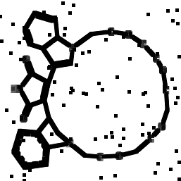 O=C1NC(=O)C2=C1C1=CN(CCOCCOCCOCCOCCN3CC2c2ccccc23)C2C=CC=CC12